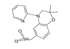 CC1(C)CN(c2ccccn2)c2cc(C[SH](=O)=O)ccc2O1